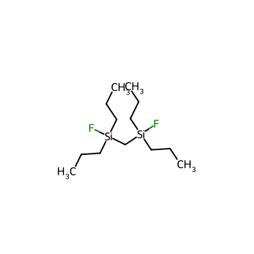 CCC[Si](F)(CCC)C[Si](F)(CCC)CCC